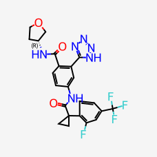 O=C(N[C@@H]1CCOC1)c1ccc(NC(=O)C2(c3ccc(C(F)(F)F)cc3F)CC2)cc1-c1nnn[nH]1